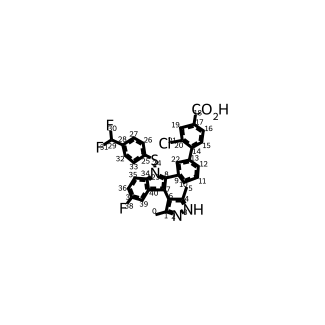 Cc1n[nH]c(C)c1-c1c(-c2cccc(-c3ccc(C(=O)O)cc3Cl)c2)n(Sc2ccc(C(F)F)cc2)c2ccc(F)cc12